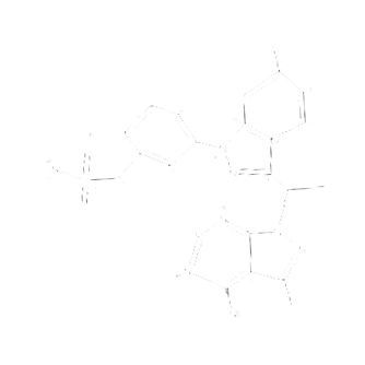 Cc1nn(C(C)c2nn(-c3cccc(CS(N)(=O)=O)c3)c3cc(Cl)ccc23)c2ncnc(N)c12